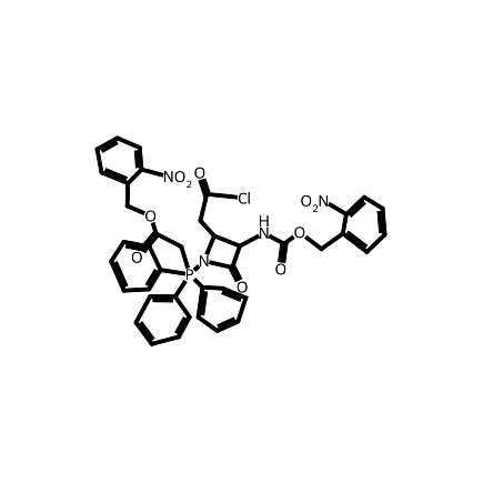 O=C(Cl)CC1C(NC(=O)OCc2ccccc2[N+](=O)[O-])C(=O)N1P(CC(=O)OCc1ccccc1[N+](=O)[O-])(c1ccccc1)(c1ccccc1)c1ccccc1